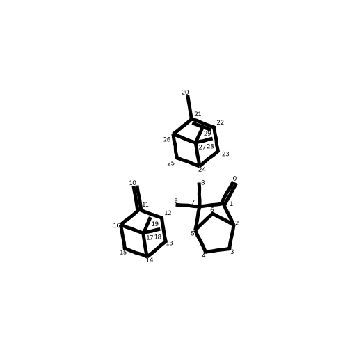 C=C1C2CCC(C2)C1(C)C.C=C1CCC2CC1C2(C)C.CC1=CCC2CC1C2(C)C